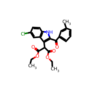 CCOC(=O)C(C(=O)OCC)c1c(C(=O)c2cccc(C)c2)[nH]c2ccc(Cl)cc12